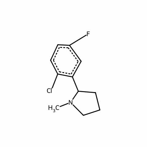 CN1CCCC1c1cc(F)ccc1Cl